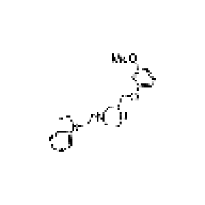 COc1cccc(OCC2CN(CCN3CCc4ccccc43)CCO2)c1